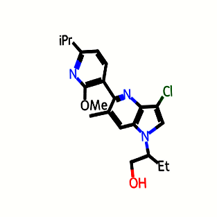 CCC(CO)n1cc(Cl)c2nc(-c3ccc(C(C)C)nc3OC)c(C)cc21